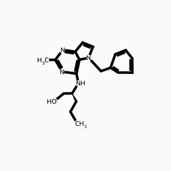 CCC[C@@H](CO)Nc1nc(C)nc2ccn(Cc3ccccc3)c12